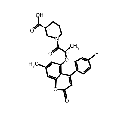 Cc1cc(O[C@H](C)C(=O)N2CCC[C@H](C(=O)O)C2)c2c(-c3ccc(F)cc3)cc(=O)oc2c1